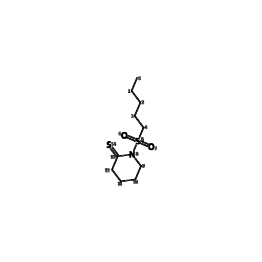 CCCCCS(=O)(=O)N1CCCCC1=S